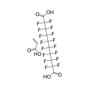 C=CC(=O)O.O=C(O)C(F)(F)C(F)(F)C(F)(F)C(F)(F)C(F)(F)C(F)(F)C(F)(F)C(F)(F)C(=O)O